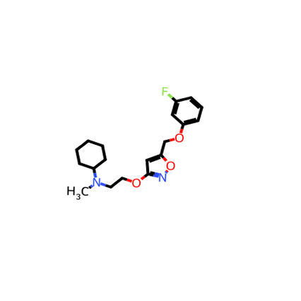 CN(CCOc1cc(COc2cccc(F)c2)on1)C1CCCCC1